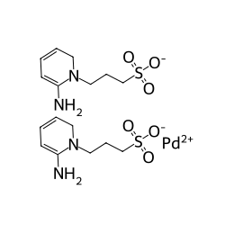 NC1=CC=CCN1CCCS(=O)(=O)[O-].NC1=CC=CCN1CCCS(=O)(=O)[O-].[Pd+2]